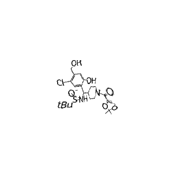 CC1(C)OC[C@H](C(=O)N2CCC(C(N[S+]([O-])C(C)(C)C)c3cc(Cl)c(CO)cc3O)CC2)O1